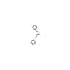 Cc1cc(NCc2sc(-c3ccc(C(F)(F)F)cc3)nc2C)cc(C)c1O